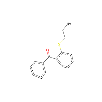 CC(C)CCSc1ccccc1C(=O)c1ccccc1